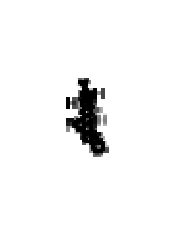 Cn1cc(-c2cc(F)cc(N3CCc4c(sc5c4CCCC5)C3=O)c2CO)cc(Nc2cc(C3CC3)[nH]n2)c1=O